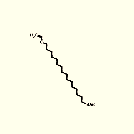 C=COCCCCCCCCCCCCCCCCCCCCCCCCCC